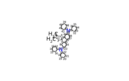 C=CCC1(CC=C)c2cc(N(c3ccccc3)c3ccccc3)ccc2-c2ccc(N(c3ccccc3)c3ccccc3)cc21